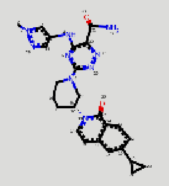 Cn1cc(Nc2nc(N3CCC[C@@H](n4ccc5cc(C6CC6)ccc5c4=O)C3)nnc2C(N)=O)cn1